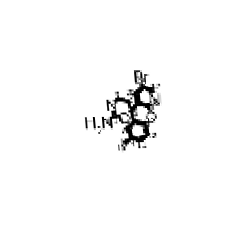 NC1=NCCC2(O1)c1cc(I)ccc1Oc1ncc(Br)cc12